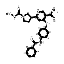 CC(C)(C)OC(=O)N1CCC(c2cc(Oc3ccc(NC(=O)c4ccccc4)cc3)c(C(N)=O)cn2)C1